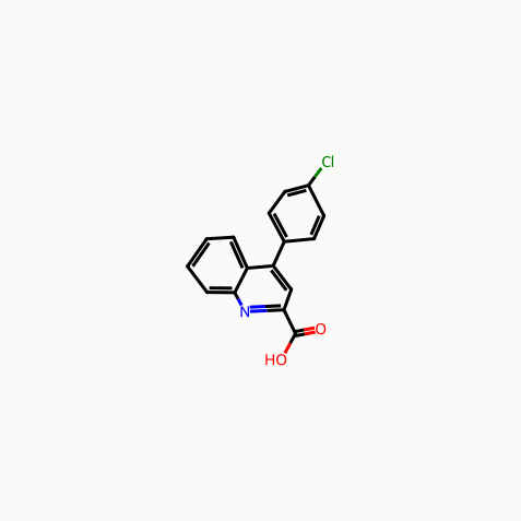 O=C(O)c1cc(-c2ccc(Cl)cc2)c2ccccc2n1